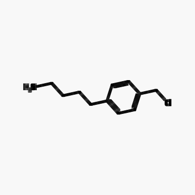 [SiH3]CCCCc1ccc(CCl)cc1